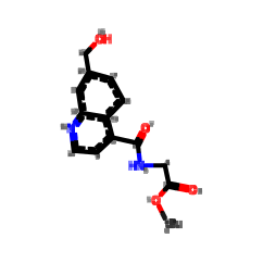 CC(C)(C)OC(=O)CNC(=O)c1ccnc2cc(CO)ccc12